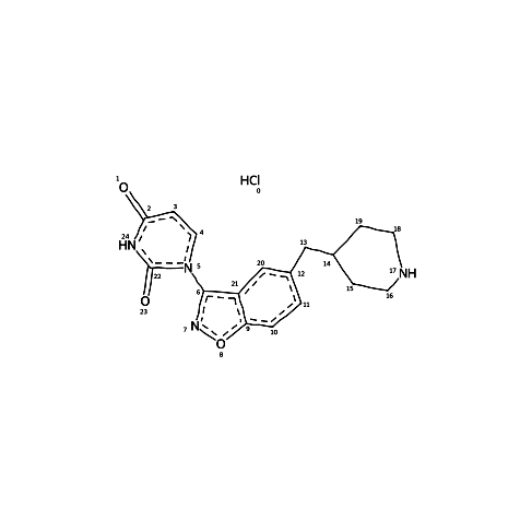 Cl.O=c1ccn(-c2noc3ccc(CC4CCNCC4)cc23)c(=O)[nH]1